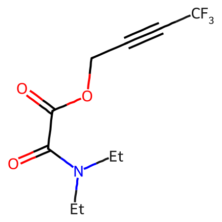 CCN(CC)C(=O)C(=O)OCC#CC(F)(F)F